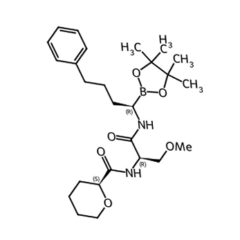 COC[C@@H](NC(=O)[C@@H]1CCCCO1)C(=O)N[C@@H](CCCc1ccccc1)B1OC(C)(C)C(C)(C)O1